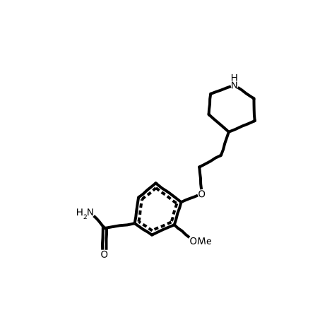 COc1cc(C(N)=O)ccc1OCCC1CCNCC1